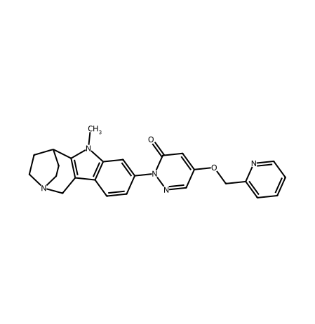 Cn1c2c(c3ccc(-n4ncc(OCc5ccccn5)cc4=O)cc31)CN1CCC2CC1